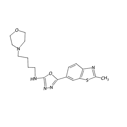 Cc1nc2ccc(-c3nnc(NCCCCN4CCOCC4)o3)cc2s1